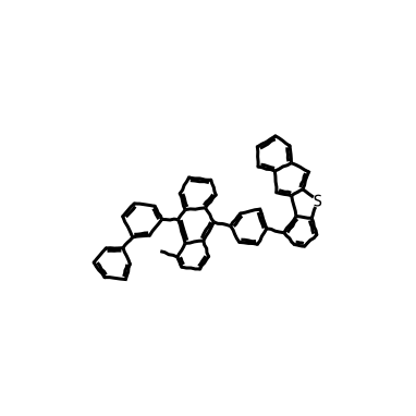 Cc1cccc2c(-c3ccc(-c4cccc5sc6cc7ccccc7cc6c45)cc3)c3ccccc3c(-c3cccc(-c4ccccc4)c3)c12